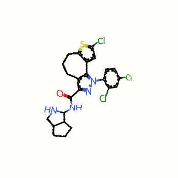 O=C(NC1NCC2CCCC21)c1nn(-c2ccc(Cl)cc2Cl)c2c1CCCc1sc(Cl)cc1-2